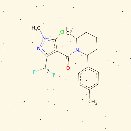 Cc1ccc(C2CCCC(C)N2C(=O)c2c(C(F)F)nn(C)c2Cl)cc1